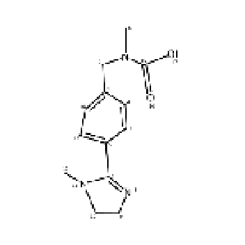 CN(Cc1ccc(C2=NCCN2C)cc1)C(=O)O